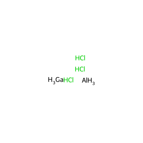 Cl.Cl.Cl.[AlH3].[GaH3]